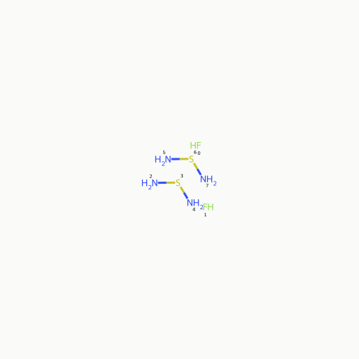 F.F.NSN.NSN